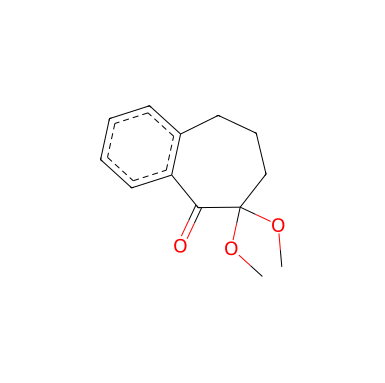 COC1(OC)CCCc2ccccc2C1=O